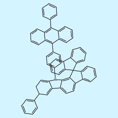 C1=c2c(n(-c3ccc(-c4c5ccccc5c(-c5ccccc5)c5ccccc45)cc3)c3c4c(ccc23)-c2ccccc2C42c3ccccc3-c3ccccc32)=CCC1c1ccccc1